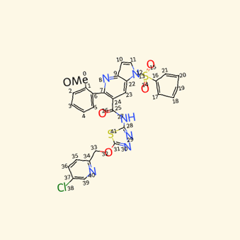 COc1ccccc1-c1nc2ccn(S(=O)(=O)c3ccccc3)c2cc1C(=O)Nc1nnc(OCc2ccc(Cl)cn2)s1